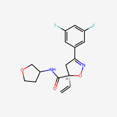 C=C[C@]1(C(=O)NC2CCOC2)CC(c2cc(F)cc(F)c2)=NO1